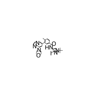 Cc1ccc(C(=O)Nc2cn(C(C)(C)C)nc2I)cc1-c1cc(N2CCOCC2)c2nccn2c1